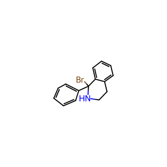 BrC1(c2ccccc2)NCCc2ccccc21